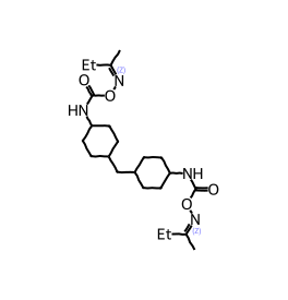 CC/C(C)=N\OC(=O)NC1CCC(CC2CCC(NC(=O)O/N=C(/C)CC)CC2)CC1